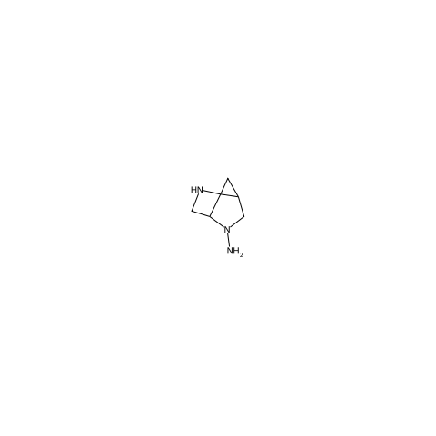 NN1CC2CC23NCC13